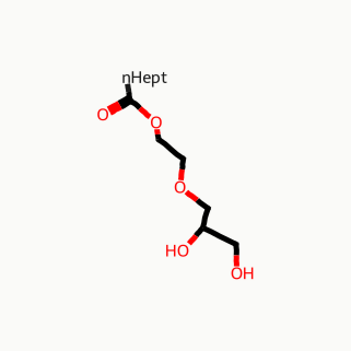 CCCCCCCC(=O)OCCOCC(O)CO